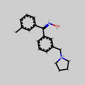 Cc1cccc(/C(=N/O)c2cccc(CN3CCCC3)c2)c1